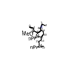 C=CC(OC)C1=C(/C=C\C)CC=C(CCN(C)CCC)N1CCC